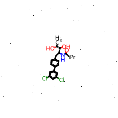 CC(C)C(=O)NC(Cc1ccc(-c2cc(Cl)cc(Cl)c2)cc1)C(O)C(C)O